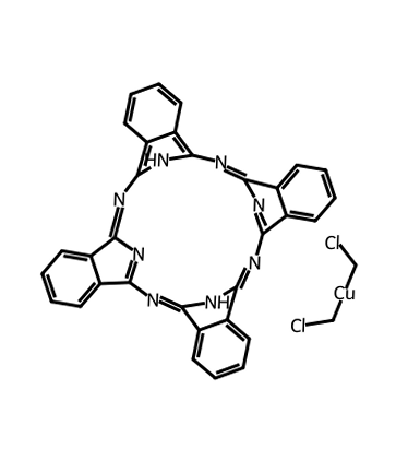 Cl[CH2][Cu][CH2]Cl.c1ccc2c(c1)-c1nc-2nc2[nH]c(nc3nc(nc4[nH]c(n1)c1ccccc41)-c1ccccc1-3)c1ccccc21